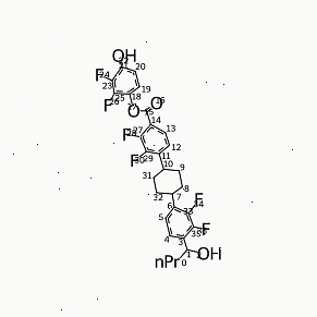 CCCC(O)c1ccc(C2CCC(c3ccc(C(=O)Oc4ccc(O)c(F)c4F)c(F)c3F)CC2)c(F)c1F